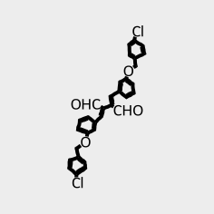 O=CC(=C\c1cccc(OCc2ccc(Cl)cc2)c1)/C(C=O)=C/c1cccc(OCc2ccc(Cl)cc2)c1